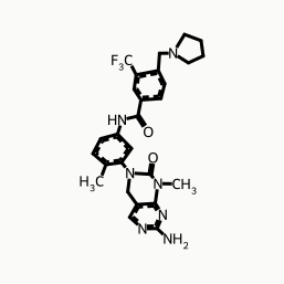 Cc1ccc(NC(=O)c2ccc(CN3CCCC3)c(C(F)(F)F)c2)cc1N1Cc2cnc(N)nc2N(C)C1=O